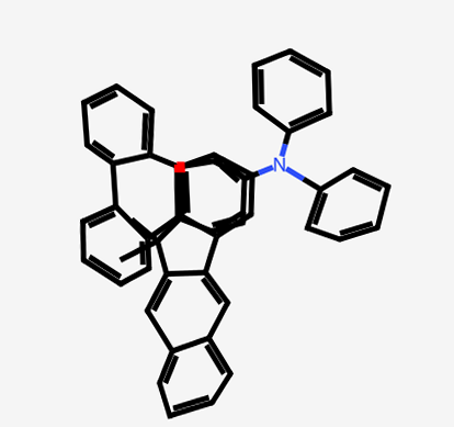 CC1(C)c2cc3ccccc3cc2-c2cccc(-c3ccccc3-c3ccccc3-c3ccc(N(c4ccccc4)c4ccccc4)cc3)c21